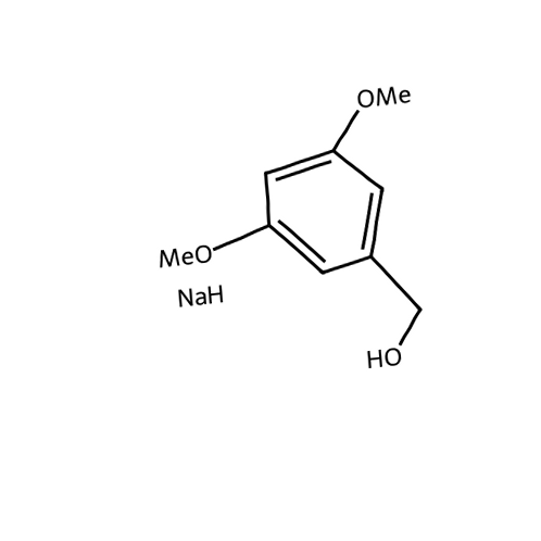 COc1cc(CO)cc(OC)c1.[NaH]